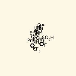 CC[C@@H]1C[C@]1(NC(=O)[C@@H]1C[C@@H](C2c3cccc(F)c3CN2C(=O)O)CN1C(=O)[C@@H](Nc1cccc(C(F)(F)F)c1)C(C)C)C(=O)NS(=O)(=O)C1CC1